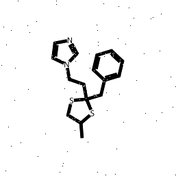 CC1CSC(CCn2ccnc2)(Cc2ccccc2)S1